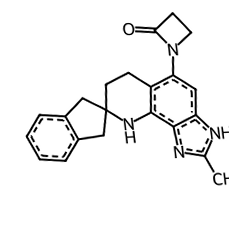 Cc1nc2c3c(c(N4CCC4=O)cc2[nH]1)CCC1(Cc2ccccc2C1)N3